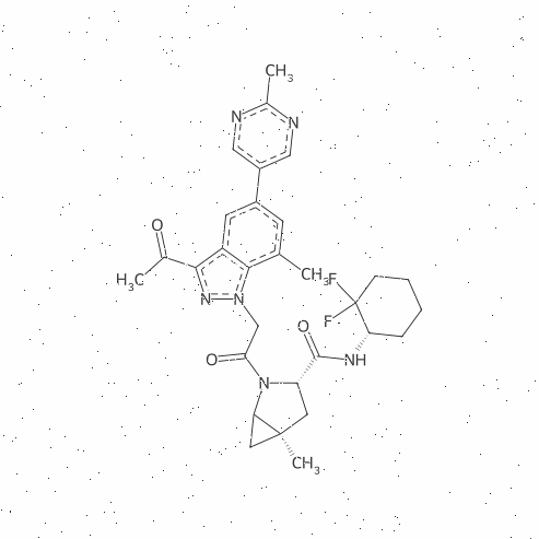 CC(=O)c1nn(CC(=O)N2C3C[C@]3(C)C[C@H]2C(=O)N[C@H]2CCCCC2(F)F)c2c(C)cc(-c3cnc(C)nc3)cc12